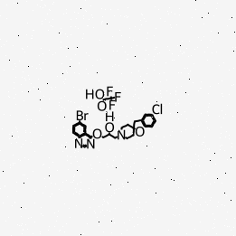 O=C(O)C(F)(F)F.OC(COc1ncnc2ccc(Br)cc12)CN1CCC2(CC1)Cc1cc(Cl)ccc1O2